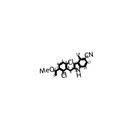 C=C(OC)c1ccc(Cl)c(Cc2cc3c(C)c(C#N)ccc3[nH]2)c1Cl